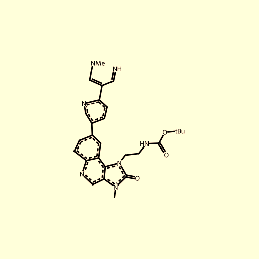 CN/C=C(\C=N)c1ccc(-c2ccc3ncc4c(c3c2)n(CCNC(=O)OC(C)(C)C)c(=O)n4C)cn1